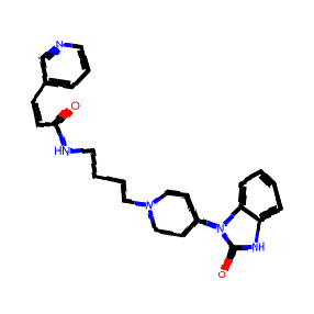 O=C(/C=C\c1cccnc1)NCCCCN1CCC(n2c(=O)[nH]c3ccccc32)CC1